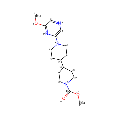 CCCCOc1cncc(N2CCC(C3CCN(C(=O)OC(C)(C)C)CC3)CC2)n1